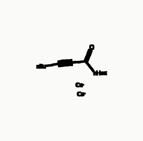 CCCCC#CC(=O)CCCCCC.[Co].[Co]